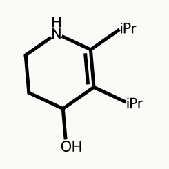 CC(C)C1=C(C(C)C)C(O)CCN1